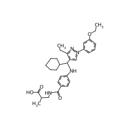 CCOc1cccc(-n2cc(C(Nc3ccc(C(=O)NCC(C)C(=O)O)cc3)C3CCCCC3)c(CC)n2)c1